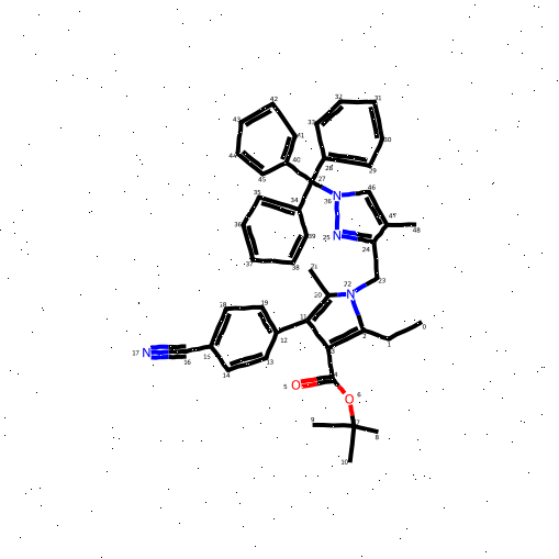 CCc1c(C(=O)OC(C)(C)C)c(-c2ccc(C#N)cc2)c(C)n1Cc1nn(C(c2ccccc2)(c2ccccc2)c2ccccc2)cc1C